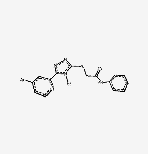 CCn1c(SCC(=O)Nc2ccccc2)nnc1-c1cc(C(C)=O)ccn1